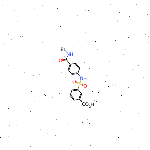 CCNC(=O)c1ccc(NS(=O)(=O)c2cccc(C(=O)O)c2)cc1